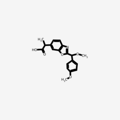 COc1ccc(C(OC)c2nc3ccc(C(C)C(=O)O)cc3o2)cc1